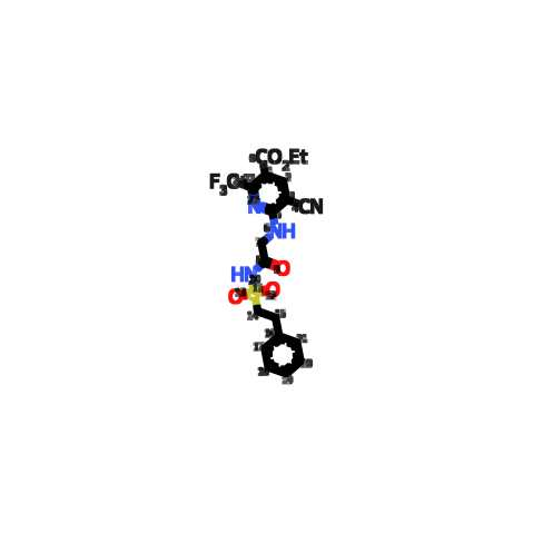 CCOC(=O)c1cc(C#N)c(NCC(=O)NS(=O)(=O)CCc2ccccc2)nc1C(F)(F)F